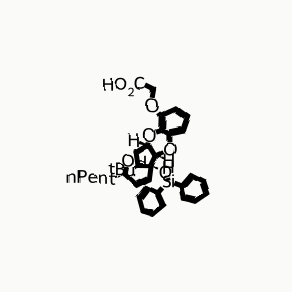 CCCCC[C@H](O)C=C[C@]1(O[SiH](c2ccccc2)c2ccccc2)[C@@H]2Oc3cccc(OCC(=O)O)c3O[C@H]2C[C@@H]1C(C)(C)C